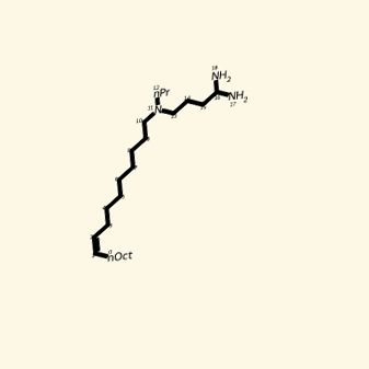 CCCCCCCC/C=C\CCCCCCCCN(CCC)CCCC(N)N